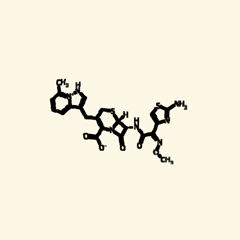 CO/N=C(\C(=O)N[C@@H]1C(=O)N2C(C(=O)[O-])=C(Cc3c[nH][n+]4c(C)cccc34)CS[C@H]12)c1csc(N)n1